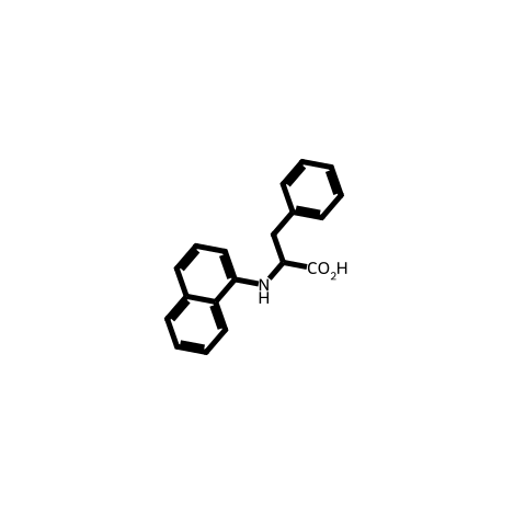 O=C(O)C(Cc1ccccc1)Nc1cccc2ccccc12